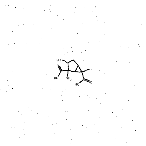 CC1(C(=O)O)C2CC(N)C(N)(C(=O)O)C21